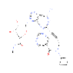 CNC(=O)C1OC(n2cnc3c(N)nc(C#CCN(C(=O)c4cncnc4)C4CCC4)nc32)[C@H](O)[C@@H]1O